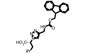 CC(C)C[C@H](C(=O)O)n1cc(CNC(=O)OCC2c3ccccc3-c3ccccc32)nn1